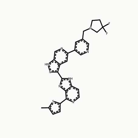 Cc1ccc(-c2nccc3[nH]c(-c4n[nH]c5cnc(-c6cncc(CN7CCC(F)(F)C7)c6)cc45)nc23)s1